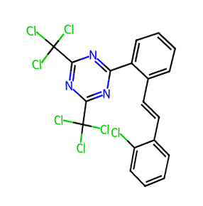 Clc1ccccc1C=Cc1ccccc1-c1nc(C(Cl)(Cl)Cl)nc(C(Cl)(Cl)Cl)n1